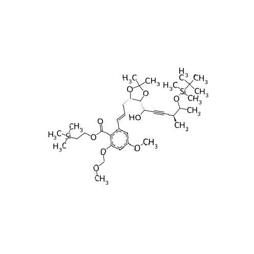 COCOc1cc(OC)cc(/C=C/C[C@@H]2OC(C)(C)O[C@@H]2C(O)C#C[C@H](C)C(C)O[Si](C)(C)C(C)(C)C)c1C(=O)OCC[Si](C)(C)C